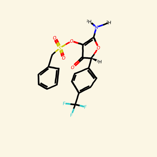 [2H]N([2H])C1=C(OS(=O)(=O)Cc2ccccc2)C(=O)[C@@]([2H])(c2ccc(C(F)(F)F)cc2)O1